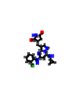 O=C1C/C(=C\c2cnn3c(NC4CC4)cc(Nc4ccccc4Cl)nc23)C(=O)N1